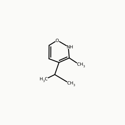 CC1=C(C(C)C)C=CON1